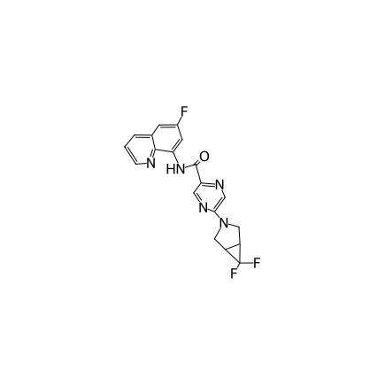 O=C(Nc1cc(F)cc2cccnc12)c1cnc(N2CC3C(C2)C3(F)F)cn1